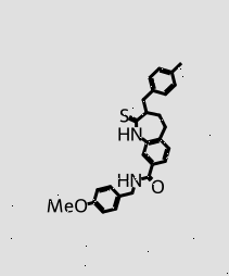 COc1ccc(CNC(=O)c2ccc3c(c2)NC(=S)C(Cc2ccc(C)cc2)CC3)cc1